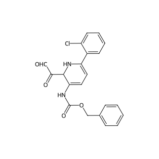 O=CC(=O)C1NC(c2ccccc2Cl)=CC=C1NC(=O)OCc1ccccc1